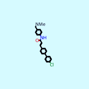 CNCc1ccc(NC(=O)C=Cc2ccc(-c3ccc(Cl)cc3)cc2)cc1